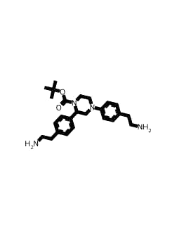 CC(C)(C)OC(=O)N1CCN(c2ccc(CCN)cc2)CC1c1ccc(CCN)cc1